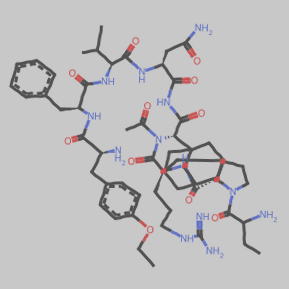 CCOc1ccc(C[C@H](N)C(=O)N[C@@H](Cc2ccccc2)C(=O)N[C@H](C(=O)N[C@@H](CC(N)=O)C(=O)NC(=O)[C@@H](N(C(C)=O)C(=O)[C@H](CCCNC(=N)N)NC(=O)[C@@H]2CCCN2C(=O)C(N)CC)C23CC4CC(CC(C4)C2)C3)C(C)C)cc1